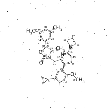 COc1ccc(C2CC2)cc1-c1ccc(N2CCC2)nc1CN1C(=O)O[C@H](c2cc(C)cc(C)c2)[C@@H]1C